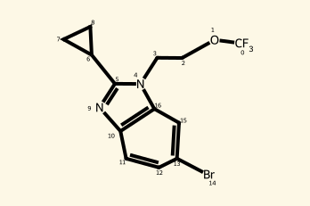 FC(F)(F)OCCn1c(C2CC2)nc2ccc(Br)cc21